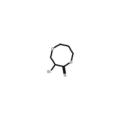 CCC1COCCCOC1=O